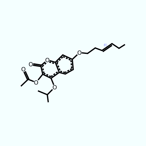 CC/C=C/CCOc1ccc2c(OC(C)C)c(OC(C)=O)c(=O)oc2c1